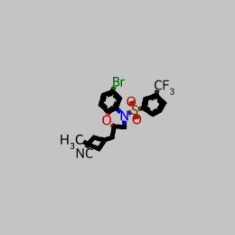 CC1(C#N)CC(CC2CN(S(=O)(=O)c3cccc(C(F)(F)F)c3)c3cc(Br)ccc3O2)C1